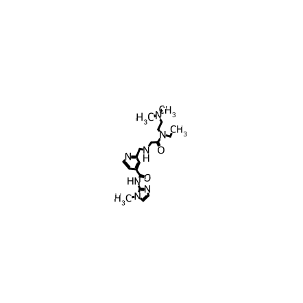 CCN(CCN(C)C)C(=O)CNCc1cc(C(=O)Nc2nccn2C)ccn1